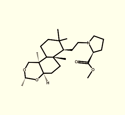 COC(=O)[C@@H]1CCCN1CC[C@@H]1C(C)(C)CCC2[C@]3(C)CO[C@@H](C)O[C@@H]3CC[C@]21C